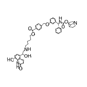 O=C(NC(c1ccccc1)c1cccc(OCc2ccc(C(=O)OCCCCCNCC(O)c3ccc(O)c4[nH]c(=O)ccc34)cc2)c1)OC1CN2CCC1CC2